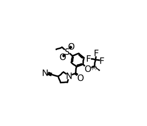 CCS(=O)(=O)c1ccc(O[C@H](C)C(F)(F)F)c(C(=O)N2CCC(C#N)C2)c1